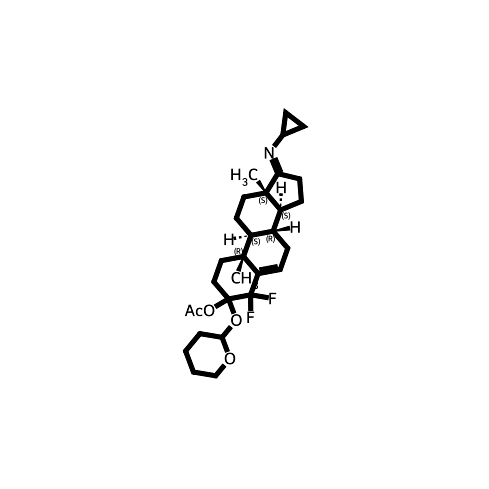 CC(=O)OC1(OC2CCCCO2)CC[C@@]2(C)C(=CC[C@@H]3[C@@H]2CC[C@]2(C)C(=NC4CC4)CC[C@@H]32)C1(F)F